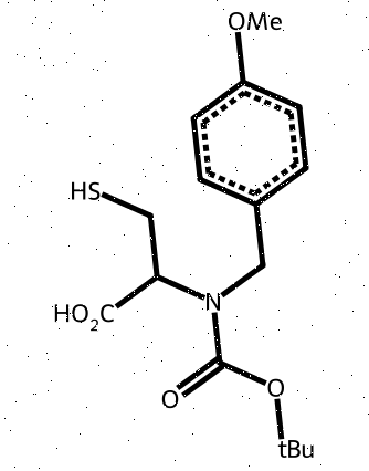 COc1ccc(CN(C(=O)OC(C)(C)C)C(CS)C(=O)O)cc1